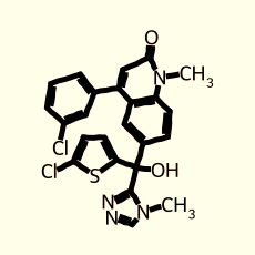 Cn1cnnc1C(O)(c1ccc2c(c1)c(-c1cccc(Cl)c1)cc(=O)n2C)c1ccc(Cl)s1